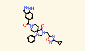 O=C(c1ccc2[nH]ncc2c1)N1CCC2(CC1)C(=O)N(Cc1nc(C3CC3)no1)CN2c1ccccc1